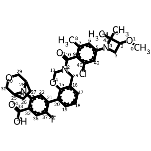 COC1CN(c2cc(C)c(C(=O)N3COc4c(cccc4-c4cc(N5C6CCC5COC6)c(C(=O)O)cc4F)C3)c(Cl)c2)C1(C)C